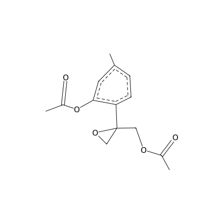 CC(=O)OCC1(c2ccc(C)cc2OC(C)=O)CO1